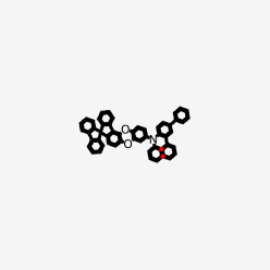 c1ccc(-c2ccc(N(c3ccccc3)c3ccc4c(c3)Oc3ccc5c(c3O4)-c3ccccc3C53c4ccccc4-c4ccccc43)c(-c3ccccc3)c2)cc1